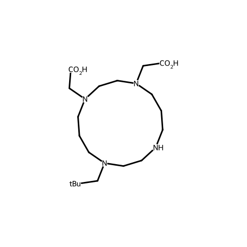 CC(C)(C)CN1CCCN(CC(=O)O)CCN(CC(=O)O)CCCNCC1